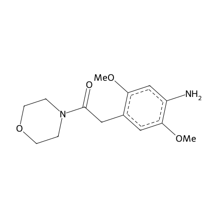 COc1cc(CC(=O)N2CCOCC2)c(OC)cc1N